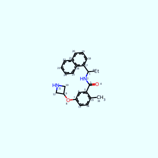 CCC(NC(=O)c1cc(OC2CNC2)ccc1C)c1cccc2ccccc12